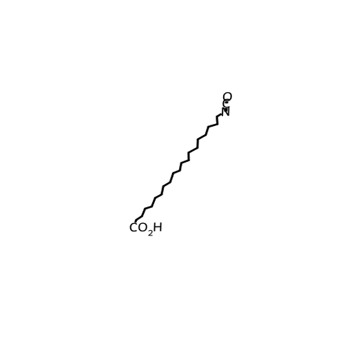 O=C=NCCCCCCCCCCCCCCCCCCCC(=O)O